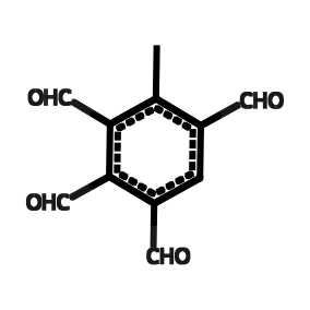 Cc1c(C=O)cc(C=O)c(C=O)c1C=O